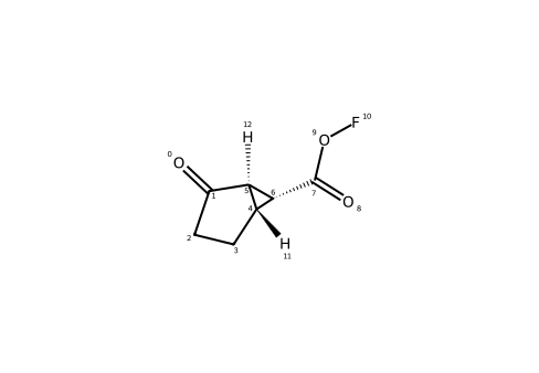 O=C1CC[C@@H]2[C@@H]1[C@@H]2C(=O)OF